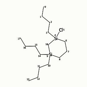 CCCC[Si]1(Cl)CCC[Si](CCCC)(CCCC)C1